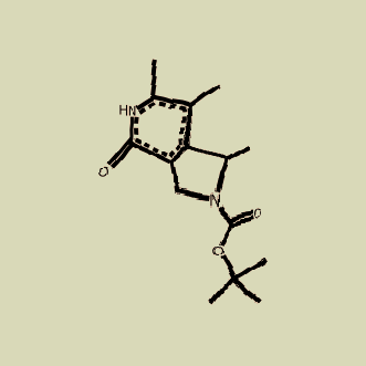 Cc1[nH]c(=O)c2c(c1C)C(C)N(C(=O)OC(C)(C)C)C2